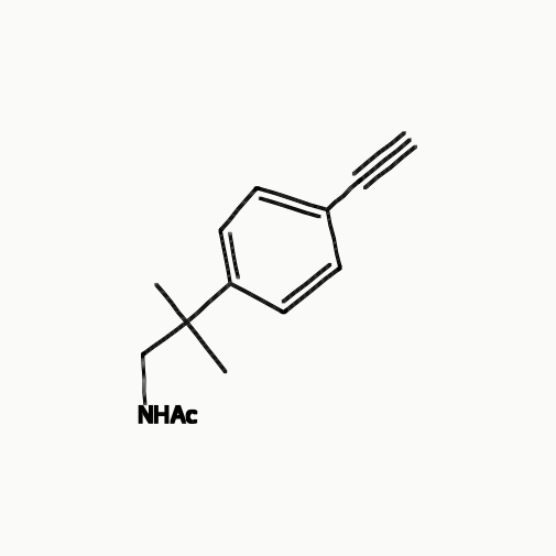 C#Cc1ccc(C(C)(C)CNC(C)=O)cc1